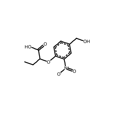 CCC(Oc1ccc(CO)cc1[N+](=O)[O-])C(=O)O